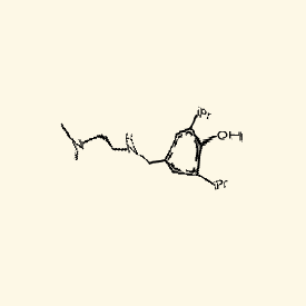 CC(C)c1cc(CNCCN(C)C)cc(C(C)C)c1O